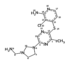 Cc1nc(N2CCN(CN)C2)cnc1Sc1ccnc(N)c1Cl